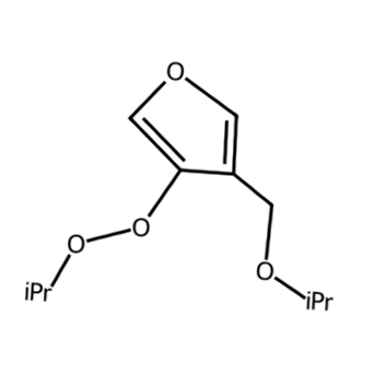 CC(C)OCc1cocc1OOC(C)C